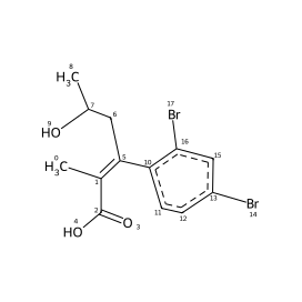 CC(C(=O)O)=C(CC(C)O)c1ccc(Br)cc1Br